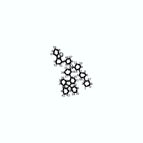 c1ccc(-c2ccc(-c3cccc(N(c4cccc(-c5cccc6c5-c5ccccc5C6(c5ccccc5)c5ccccc5)c4)c4cccc(-c5cccc6c5oc5ccccc56)c4)c3)cc2)cc1